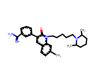 Cc1ccc2cc(-c3cccc(C(=N)N)c3)c(=O)n(CCCCCN3C(C)CCCC3C)c2c1